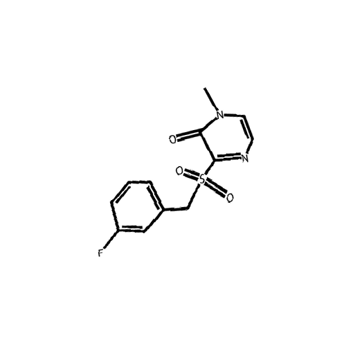 Cn1ccnc(S(=O)(=O)Cc2cccc(F)c2)c1=O